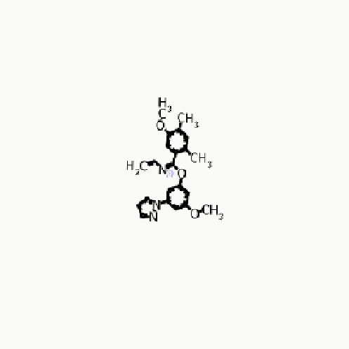 C=C/N=C(/Oc1cc(OC)cc(-n2cccn2)c1)c1cc(OC)c(C)cc1C